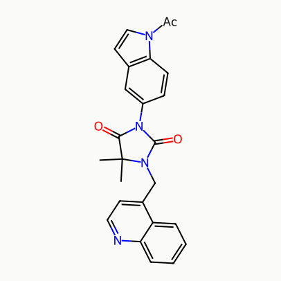 CC(=O)n1ccc2cc(N3C(=O)N(Cc4ccnc5ccccc45)C(C)(C)C3=O)ccc21